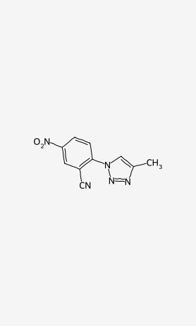 Cc1cn(-c2ccc([N+](=O)[O-])cc2C#N)nn1